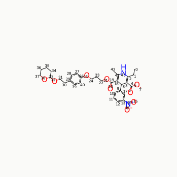 CCC1=C(C(=O)OC)C(c2cccc([N+](=O)[O-])c2)C(C(=O)OCCCOc2ccc(CCOC3CCCCO3)cc2)=C(C)N1